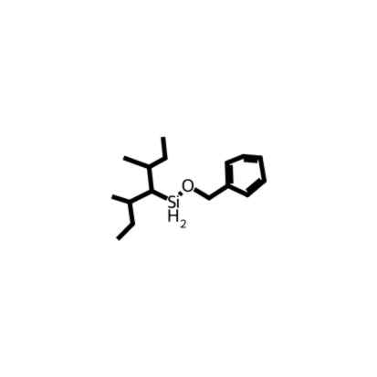 CCC(C)C([SiH2]OCc1ccccc1)C(C)CC